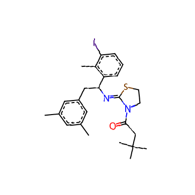 Cc1cc(C)cc(CC(N=C2SCCN2C(=O)CC(C)(C)C)c2cccc(I)c2C)c1